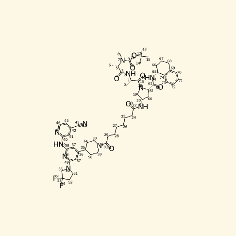 C[C@H](NC(=O)[C@H](C)N(C)C(=O)OC(C)(C)C)C(=O)N1C[C@@H](NC(=O)CCCCCCC(=O)N2CCC(c3cc(Nc4cc(C#N)ccn4)nc(N4CCC(F)(F)C4)c3)CC2)C[C@H]1C(=O)N[C@@H]1CCCc2ccccc21